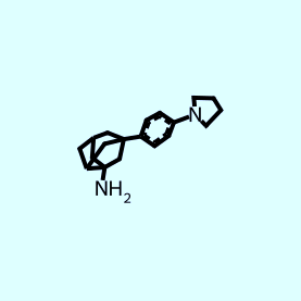 NC12CC3CC1CC(c1ccc(N4CCCC4)cc1)(C3)C2